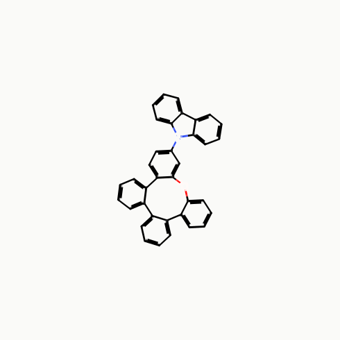 c1ccc2c(c1)oc1cc(-n3c4ccccc4c4ccccc43)ccc1c1ccccc1c1ccccc21